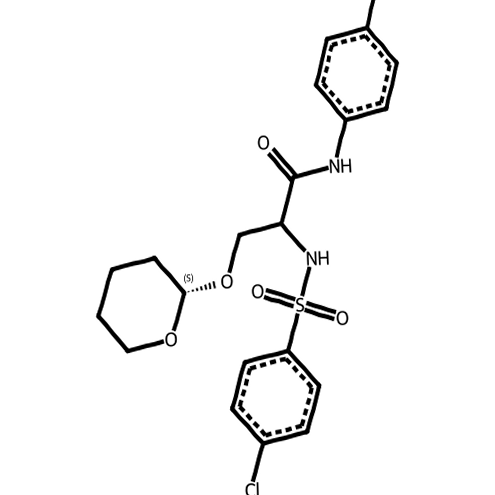 O=C(O)c1ccc(NC(=O)C(CO[C@H]2CCCCO2)NS(=O)(=O)c2ccc(Cl)cc2)cc1